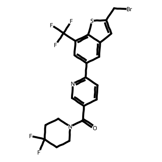 O=C(c1ccc(-c2cc(C(F)(F)F)c3sc(CBr)cc3c2)nc1)N1CCC(F)(F)CC1